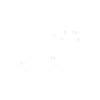 Nc1ncccc1-c1nc2ccc(-c3ccccc3)nc2n1-c1ccc(CNC(=O)c2ccc(CCC(=O)O)cc2)cc1